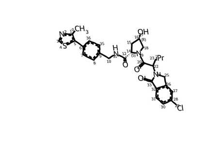 Cc1ncsc1-c1ccc(CNC(=O)[C@@H]2C[C@@H](O)CN2C(=O)C(C(C)C)N2Cc3cc(Cl)ccc3C2=O)cc1